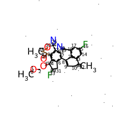 COCO[C@H]1c2c(c(C3=CC[C@@H](C)c4cc(F)cc(C#N)c43)cc(C#N)c2S(C)(=O)=O)C[C@H]1F